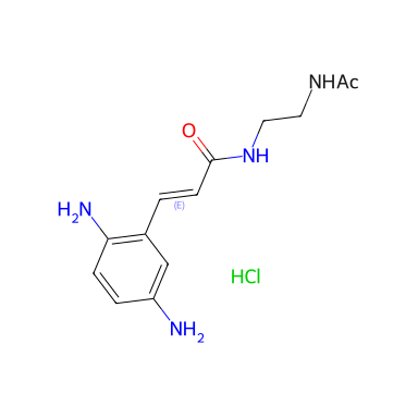 CC(=O)NCCNC(=O)/C=C/c1cc(N)ccc1N.Cl